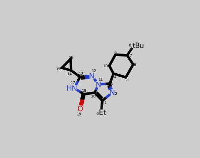 CCc1nc(C2CCC(C(C)(C)C)CC2)n2nc(C3CC3)[nH]c(=O)c12